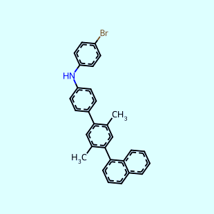 Cc1cc(-c2cccc3ccccc23)c(C)cc1-c1ccc(Nc2ccc(Br)cc2)cc1